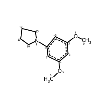 COc1cc(OC)cc(N2[CH]CCC2)c1